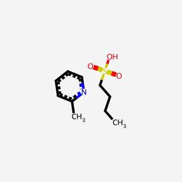 CCCCS(=O)(=O)O.Cc1ccccn1